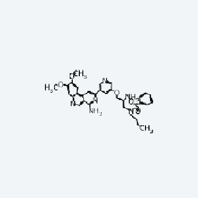 CCCCN(C[C@H](N)COc1cncc(-c2cc3c(cnc4cc(OC)c(OC)cc43)c(N)n2)c1)S(=O)(=O)c1ccccc1